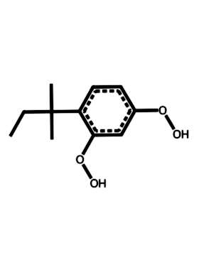 CCC(C)(C)c1ccc(OO)cc1OO